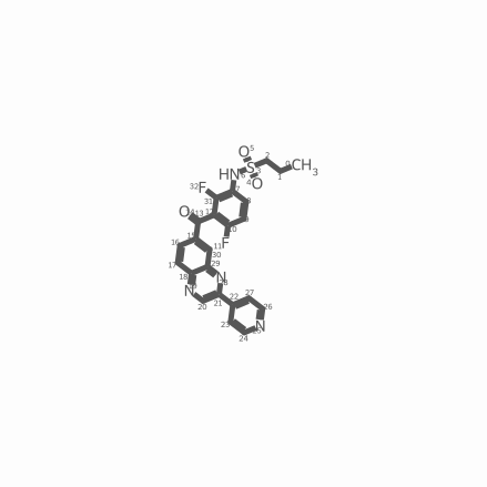 CCCS(=O)(=O)Nc1ccc(F)c(C(=O)c2ccc3ncc(-c4ccncc4)nc3c2)c1F